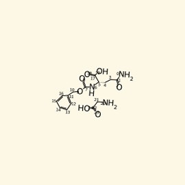 NC(=O)CC[C@H](NC(=O)OCc1ccccc1)C(=O)O.NCC(=O)O